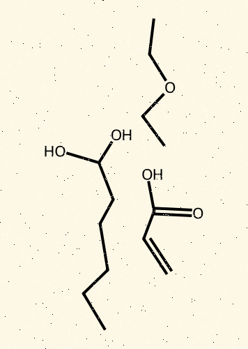 C=CC(=O)O.CCCCCC(O)O.CCOCC